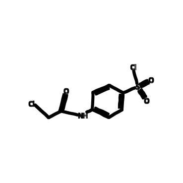 O=C(CCl)Nc1ccc(S(=O)(=O)Cl)cc1